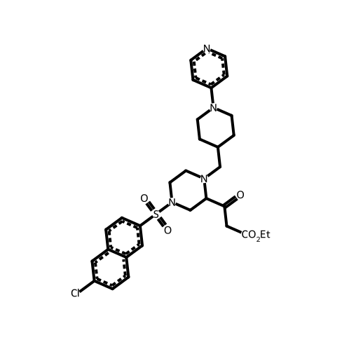 CCOC(=O)CC(=O)C1CN(S(=O)(=O)c2ccc3cc(Cl)ccc3c2)CCN1CC1CCN(c2ccncc2)CC1